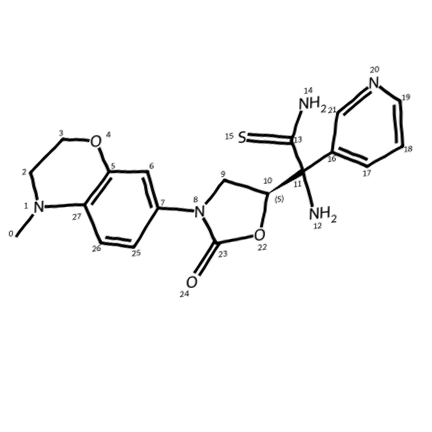 CN1CCOc2cc(N3C[C@@H](C(N)(C(N)=S)c4cccnc4)OC3=O)ccc21